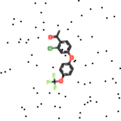 CC(=O)c1ccc(Oc2ccc(OC(F)(F)F)cc2)cc1Cl